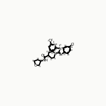 C[N@@+]1(c2cccc(C(F)(F)F)n2)C(N2CCC(C(=O)NC3CCOC3)CC2)=Nc2ccc(Cl)cc21